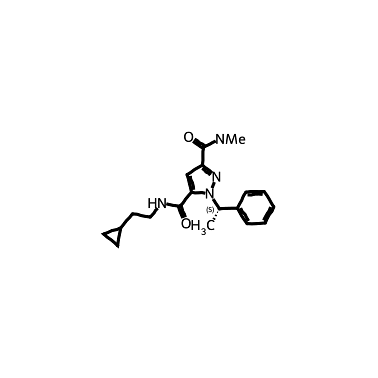 CNC(=O)c1cc(C(=O)NCCC2CC2)n([C@@H](C)c2ccccc2)n1